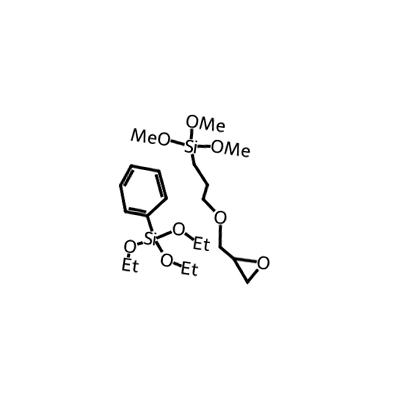 CCO[Si](OCC)(OCC)c1ccccc1.CO[Si](CCCOCC1CO1)(OC)OC